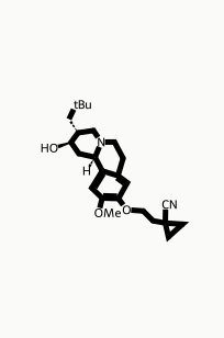 COc1cc2c(cc1OCCC1(C#N)CC1)CCN1C[C@@H](CC(C)(C)C)[C@H](O)C[C@H]21